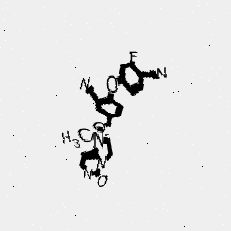 C[N+]1(OCc2ccc(Oc3ccc(C#N)c(F)c3)c(C#N)c2)CCn2c1ccnc2=O